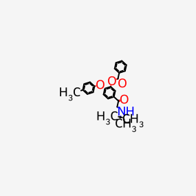 Cc1ccc(Oc2ccc(C(=O)CNC(C)(C)C)cc2OC(=O)c2ccccc2)cc1